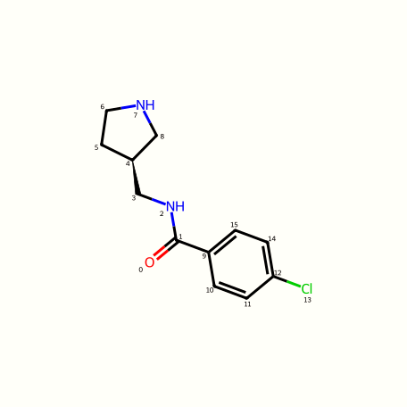 O=C(NC[C@H]1CCNC1)c1ccc(Cl)cc1